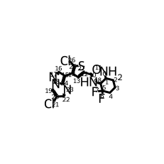 NC1CCCC(F)(F)C1NC(=O)c1cc(-c2cnn3cc(Cl)cnc23)c(Cl)s1